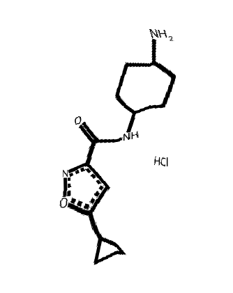 Cl.NC1CCC(NC(=O)c2cc(C3CC3)on2)CC1